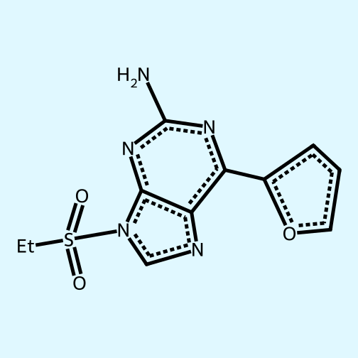 CCS(=O)(=O)n1cnc2c(-c3ccco3)nc(N)nc21